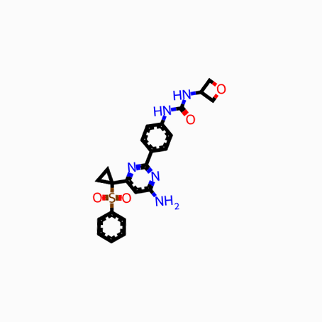 Nc1cc(C2(S(=O)(=O)c3ccccc3)CC2)nc(-c2ccc(NC(=O)NC3COC3)cc2)n1